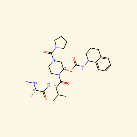 CN[C@@H](C)C(=O)N[C@H](C(=O)N1CCN(C(=O)N2CCCC2)C[C@@H]1OC(=O)NC1CCCc2ccccc21)C(C)C